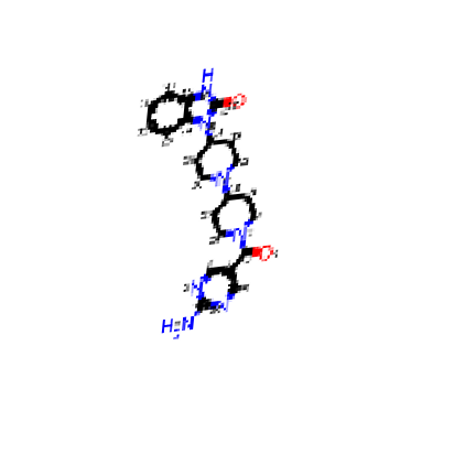 Nc1ncc(C(=O)N2CCC(N3CCC(n4c(=O)[nH]c5ccccc54)CC3)CC2)cn1